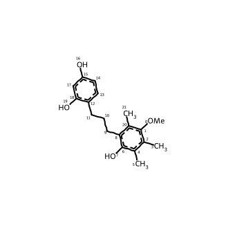 COc1c(C)c(C)c(O)c(CCCc2ccc(O)cc2O)c1C